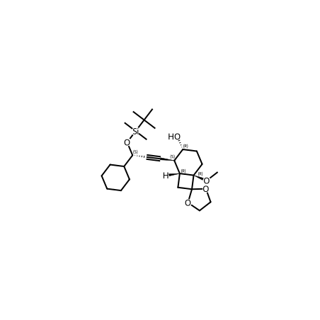 CO[C@]12CC[C@@H](O)[C@H](C#C[C@@H](O[Si](C)(C)C(C)(C)C)C3CCCCC3)[C@H]1CC21OCCO1